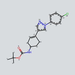 CC(C)(C)OC(=O)NC1CC=C(c2cnn(-c3ccc(Cl)cc3)c2)CC1